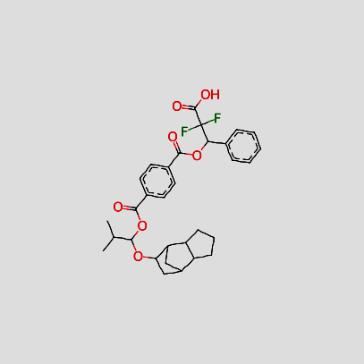 CC(C)C(OC(=O)c1ccc(C(=O)OC(c2ccccc2)C(F)(F)C(=O)O)cc1)OC1CC2CC1C1CCCC21